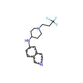 FC(F)(F)CCN1CCC(Nc2ccc3cnccc3c2)CC1